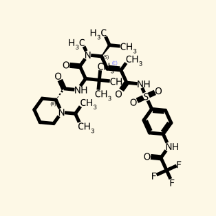 C/C(=C\[C@H](C(C)C)N(C)C(=O)C(NC(=O)[C@H]1CCCCN1C(C)C)C(C)(C)C)C(=O)NS(=O)(=O)c1ccc(NC(=O)C(F)(F)F)cc1